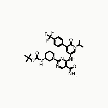 CC(C)n1cc(Nc2nc(N3CCC[C@H](NC(=O)OC(C)(C)C)C3)ncc2C(N)=O)cc(-c2ccc(C(F)(F)F)cc2)c1=O